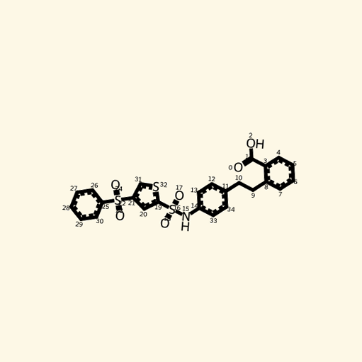 O=C(O)c1ccccc1CCc1ccc(NS(=O)(=O)c2cc(S(=O)(=O)c3ccccc3)cs2)cc1